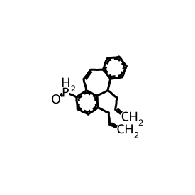 C=CCc1ccc([PH2]=O)c2c1C(CC=C)c1ccccc1C=C2